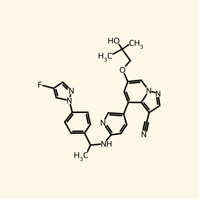 CC(Nc1ccc(-c2cc(OCC(C)(C)O)cn3ncc(C#N)c23)cn1)c1ccc(-n2cc(F)cn2)cc1